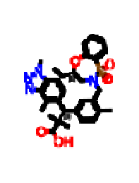 CC[C@@H]1CN(Cc2cc([C@H](c3ccc4c(nnn4C)c3C)C(C)(C)C(=O)O)ccc2C)S(=O)(=O)c2ccccc2O1